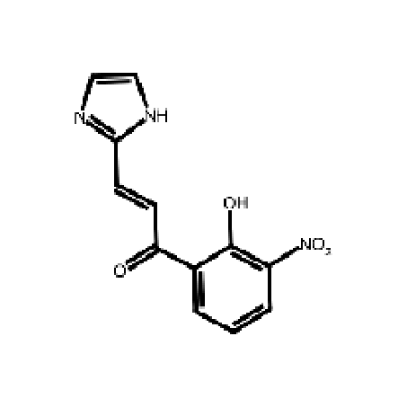 O=C(/C=C/c1ncc[nH]1)c1cccc([N+](=O)[O-])c1O